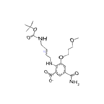 COCCCOc1cc(C(N)=O)cc([N+](=O)[O-])c1NC/C=C/CNC(=O)OC(C)(C)C